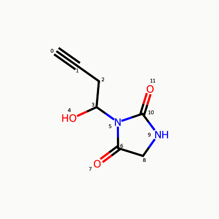 C#CCC(O)N1C(=O)CNC1=O